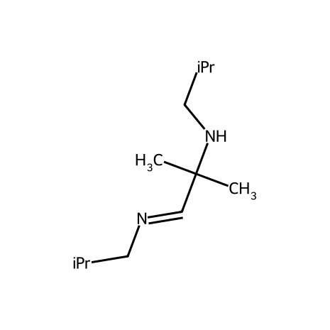 CC(C)C/N=C/C(C)(C)NCC(C)C